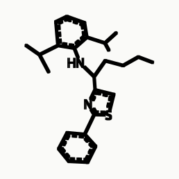 CCCCC(Nc1c(C(C)C)cccc1C(C)C)c1csc(-c2ccccc2)n1